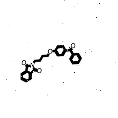 O=C(c1ccccc1)c1ccc(OCCCCN2C(=O)c3ccccc3C2=O)cc1